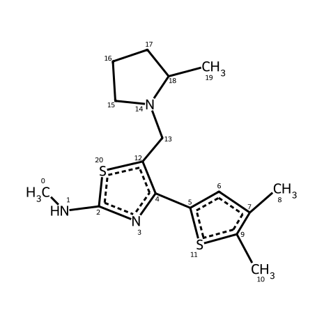 CNc1nc(-c2cc(C)c(C)s2)c(CN2CCCC2C)s1